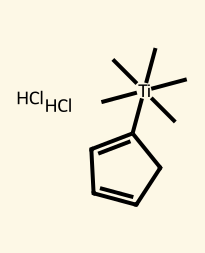 Cl.Cl.[CH3][Ti]([CH3])([CH3])([CH3])([CH3])[C]1=CC=CC1